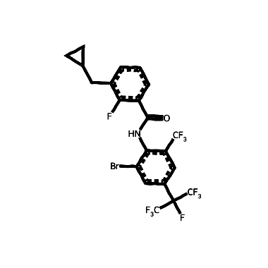 O=C(Nc1c(Br)cc(C(F)(C(F)(F)F)C(F)(F)F)cc1C(F)(F)F)c1cccc(CC2CC2)c1F